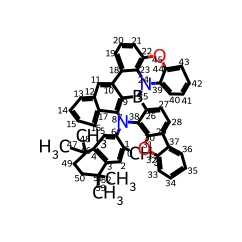 Cc1cc2c(cc1N1c3c4c(cc5ccccc35)-c3cccc5c3N(B4c3ccc4c(oc6ccccc64)c31)c1ccccc1O5)C(C)(C)CCC2(C)C